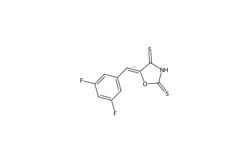 Fc1cc(F)cc(/C=C2\OC(=S)NC2=S)c1